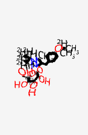 [2H]C(C)(C)Oc1ccc(Cc2c(O[C@@H]3O[C@H](CO)[C@@H](O)[C@H](O)[C@H]3O)nn(C([2H])(C([2H])([2H])[2H])C([2H])([2H])[2H])c2C)cc1